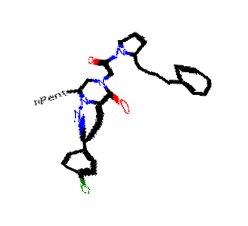 CCCCCC1CN(CC(=O)N2CCCC2CCCc2ccccc2)C(=O)c2cc(-c3ccc(Cl)cc3)nn21